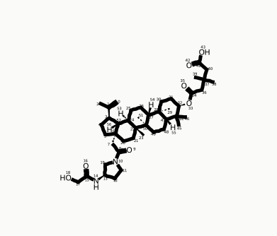 C=C(C)[C@@H]1CC[C@]2(CC(=O)N3CC[C@@H](NC(=O)CO)C3)CC[C@]3(C)[C@H](CC[C@@H]4[C@@]5(C)CC[C@H](OC(=O)CC(C)(C)CC(=O)O)C(C)(C)[C@@H]5CC[C@]43C)[C@@H]12